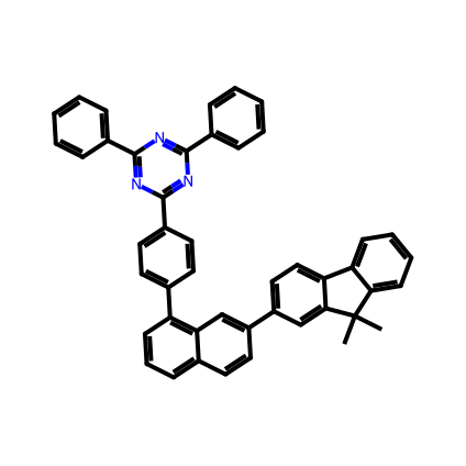 CC1(C)c2ccccc2-c2ccc(-c3ccc4cccc(-c5ccc(-c6nc(-c7ccccc7)nc(-c7ccccc7)n6)cc5)c4c3)cc21